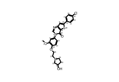 COc1cc(-n2cnc3cc(-c4ccc(Cl)cc4)sc3c2=O)ccc1OCCN1CCC(O)C1